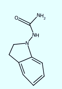 NC(=O)NN1CCc2ccccc21